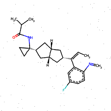 C=Nc1ccc(F)cc1/C(=C\C)[C@@H]1C[C@@H]2C[C@H](C3(NC(=O)C(C)C)CC3)C[C@@H]2C1